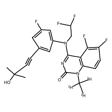 [2H]C([2H])([2H])n1c(=O)nc(N(CC(F)F)c2cc(F)cc(C#CC(C)(C)O)c2)c2c(F)c(F)ccc21